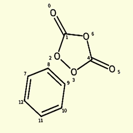 O=c1ooc(=O)o1.c1ccccc1